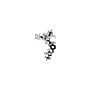 CC(C)(C)OC(=O)N[C@@H](COC(C)(C)C(F)(F)F)c1nc2cc(CN3C[C@@H](C(F)(F)F)NC3=O)ccc2[nH]1